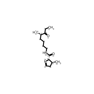 CCC(=O)[C@H](C)CCCCNC(=O)[C@H]1N=CC[C@@H]1C